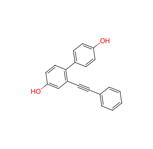 Oc1ccc(-c2ccc(O)cc2C#Cc2ccccc2)cc1